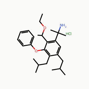 CCOC(C)c1c(C(C)(C)N)cc(CC(C)C)c(CC(C)C)c1Oc1ccccc1.Cl